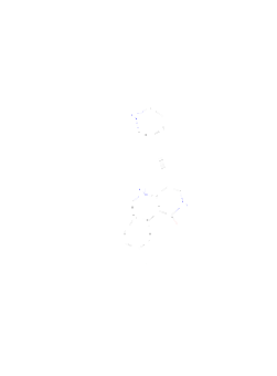 O=c1[nH]cc(C#Cc2cccnc2)c2nc(C3CCOCC3)c3ccc(Br)cc3c12